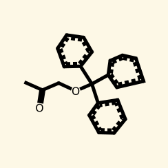 CC(=O)COC(c1ccccc1)(c1ccccc1)c1ccccc1